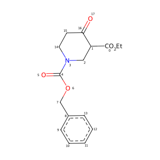 CCOC(=O)C1CN(C(=O)OCc2ccccc2)CCC1=O